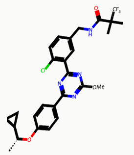 COc1nc(-c2ccc(O[C@H](C)C3CC3)cc2)nc(-c2cc(CNC(=O)C(C)(C)C(F)(F)F)ccc2Cl)n1